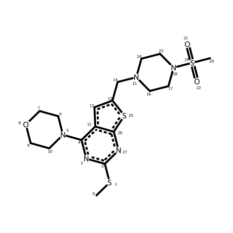 CSc1nc(N2CCOCC2)c2cc(CN3CCN(S(C)(=O)=O)CC3)sc2n1